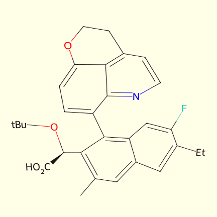 CCc1cc2cc(C)c([C@H](OC(C)(C)C)C(=O)O)c(-c3ccc4c5c(ccnc35)CCO4)c2cc1F